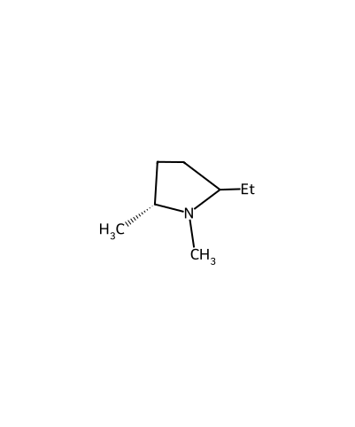 CCC1CC[C@@H](C)N1C